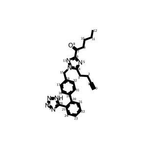 C#CCCc1nc(C(=O)CCCC)nn1Cc1ccc(-c2ccccc2-c2nnn[nH]2)cc1